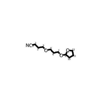 N#CCCCOCCCOC1CCCO1